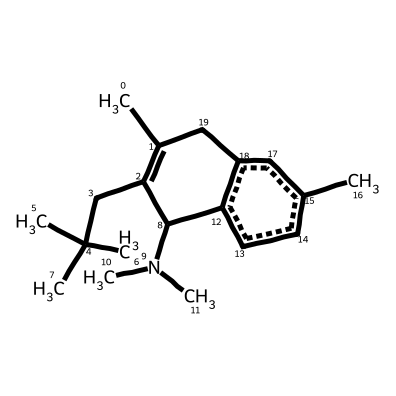 CC1=C(CC(C)(C)C)C(N(C)C)c2ccc(C)cc2C1